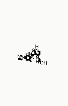 Cc1cc(-n2ccnc2)cc2[nH]c(-c3c(NCCO)cc[nH]c3=O)nc12